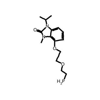 CC(C)n1c(=O)n(C)c2c(OCCOCCP)cccc21